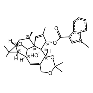 CC1=C[C@]23C(O)[C@@H](C=C4COC(C)(C)O[C@H]4[C@]2(O)[C@H]1OC(=O)c1cn(C)c2ccccc12)[C@H]1[C@@H](C[C@H]3C)C1(C)C